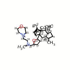 CC(C)C1=CC2CC3(C=O)[C@@H]4CC[C@@H](C)[C@H]4CC2(C2CCC(CN(C)CCN4CCOCC4)O2)C13C(=O)O